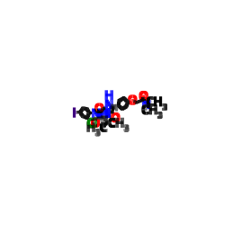 CC(C)[C@@H](C(=O)Nc1ccc(I)cc1Cl)N1C(=O)N[C@H](c2ccc(OCC(=O)N(C)C)cc2)C1=O